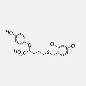 O=C(O)C(CCCSCc1ccc(Cl)cc1Cl)Oc1ccc(O)cc1